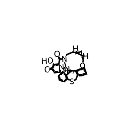 O=C1c2c(O)c(=O)ccn2N2CN1CC[C@@H]1C[C@H]1COc1cccc3c1[C@@H]2c1ccccc1SC3